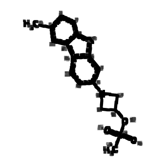 Cc1ccc2nc3cc(N4CC(OS(C)(=O)=O)C4)ccn3c2c1